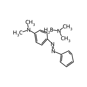 BN(C)C.CN(C)c1ccc(N=Nc2ccccc2)cc1